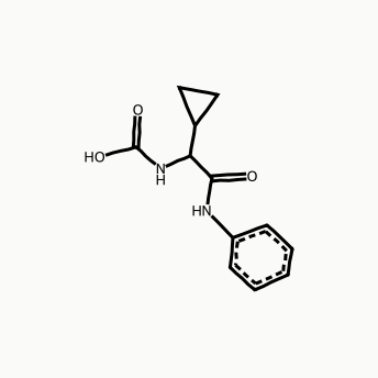 O=C(O)NC(C(=O)Nc1ccccc1)C1CC1